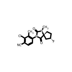 Cc1c(N2C(=O)N(C)[C@@]3(CC[C@H](F)C3)C2=O)ccc(C#N)c1Cl